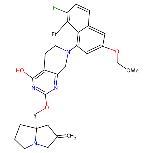 C=C1CN2CCC[C@@]2(COc2nc(O)c3c(n2)CN(c2cc(OCOC)cc4ccc(F)c(CC)c24)CC3)C1